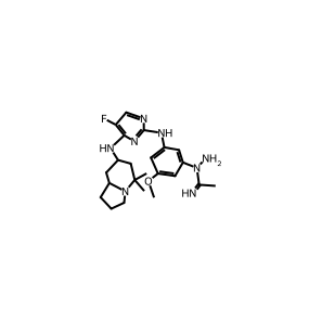 COc1cc(Nc2ncc(F)c(NC3CC4CCCN4C(C)(C)C3)n2)cc(N(N)C(C)=N)c1